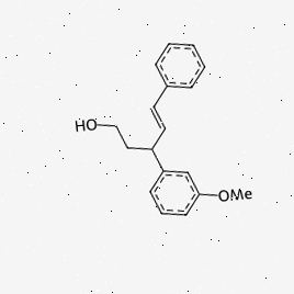 COc1cccc(C(C=Cc2ccccc2)CCO)c1